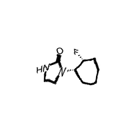 O=C1NCCN1[C@H]1CCCC[C@H]1F